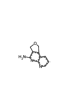 Nc1nc2nc[c]cc2c2c1COC2